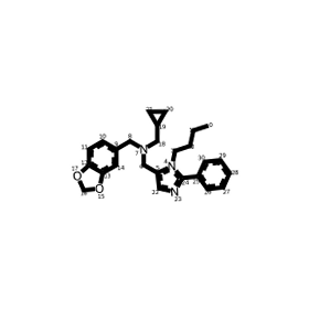 CCCCn1c(CN(Cc2ccc3c(c2)OCO3)CC2CC2)cnc1-c1ccccc1